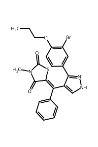 CCCOc1ccc(-c2n[nH]cc2C(=C2SC(=O)N(C)C2=O)c2ccccc2)cc1Br